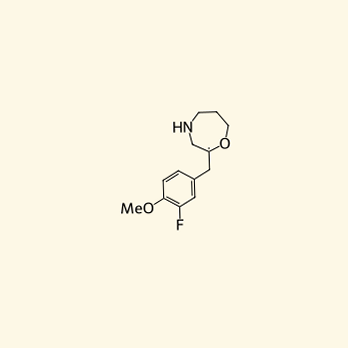 COc1ccc(C[C]2CNCCCO2)cc1F